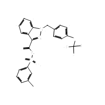 Cc1cccc(S(=O)(=O)NC(=O)c2nn(Cc3ccc(OC(F)(F)F)cc3)c3ccccc23)c1